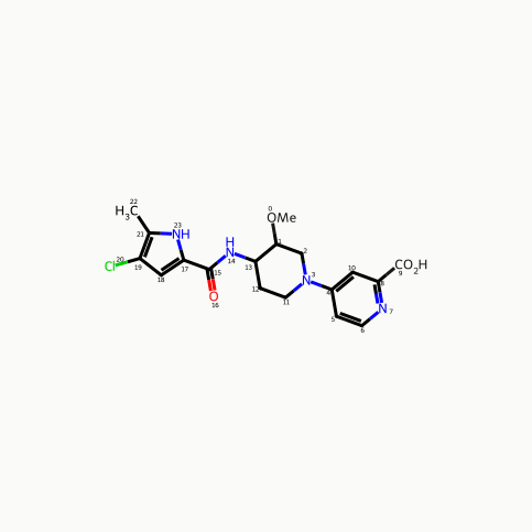 COC1CN(c2ccnc(C(=O)O)c2)CCC1NC(=O)c1cc(Cl)c(C)[nH]1